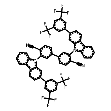 N#Cc1ccc(-c2ccc(C#N)c(-n3c4ccccc4c4ccc(-c5cc(C(F)(F)F)cc(C(F)(F)F)c5)cc43)c2)cc1-n1c2ccccc2c2ccc(-c3cc(C(F)(F)F)cc(C(F)(F)F)c3)cc21